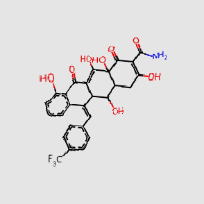 NC(=O)C1=C(O)CC2C(O)C3C(=C(O)C2(O)C1=O)C(=O)c1c(O)cccc1/C3=C\c1ccc(C(F)(F)F)cc1